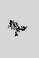 Cc1cc(C(F)F)n(-c2cc(Nc3c(C)c(-c4ccc(F)cn4)nn3CC3CC3)ncn2)n1